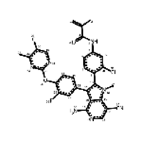 C=C(C)C(=O)Nc1ccc(-c2c(-c3ccc(Oc4ncc(Cl)c(C)n4)c(F)c3)c3c(N)ncc(C#N)c3n2C)c(Cl)c1